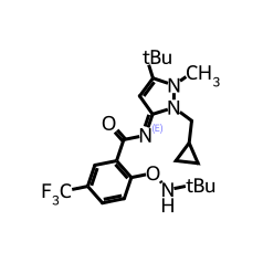 Cn1c(C(C)(C)C)c/c(=N\C(=O)c2cc(C(F)(F)F)ccc2ONC(C)(C)C)n1CC1CC1